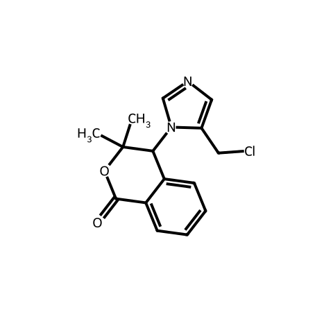 CC1(C)OC(=O)c2ccccc2C1n1cncc1CCl